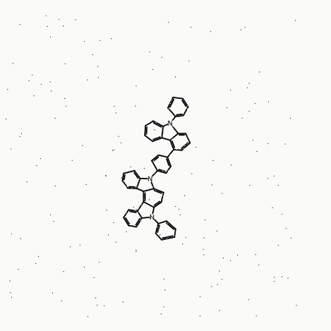 c1ccc(-n2c3ccccc3c3c(-c4ccc(-n5c6ccccc6c6c7c8ccccc8n(-c8ccccc8)c7ccc65)cc4)cccc32)cc1